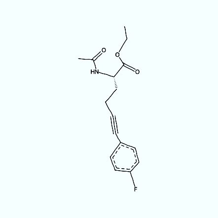 CCOC(=O)[C@H](CCC#Cc1ccc(F)cc1)NC(C)=O